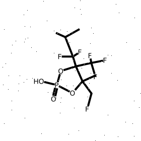 CC(C)C(F)(F)C1(C(F)(F)F)OP(=O)(O)OC1(C)CF